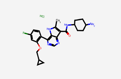 Cc1[nH]c2c(-c3ccc(F)cc3OCC3CC3)ncnc2c1C(=O)NC1CCC(N)CC1.Cl